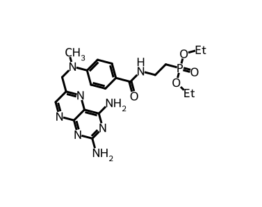 CCOP(=O)(CCNC(=O)c1ccc(N(C)Cc2cnc3nc(N)nc(N)c3n2)cc1)OCC